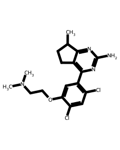 CC1CCc2c(-c3cc(OCCN(C)C)c(Cl)cc3Cl)nc(N)nc21